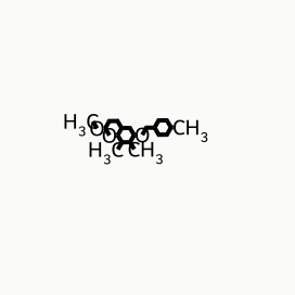 COC1CCC2CC(OCC3CCC(C)CC3)C(C)C(C)C2O1